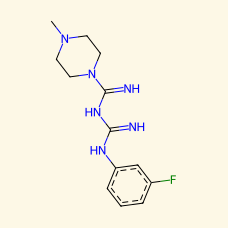 CN1CCN(C(=N)NC(=N)Nc2cccc(F)c2)CC1